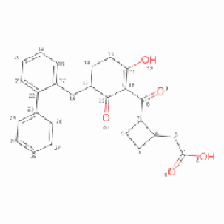 O=C(O)CC1CCC1C(=O)C1=C(O)CCC(Cc2ccccc2-c2ccccc2)C1=O